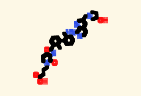 Cc1c(Nc2nccc3cc(CN4CC[C@@H](O)C4)cnc23)cccc1-c1cccc(-c2nc3c(=O)n(CCCC(=O)O)ccc3o2)c1C